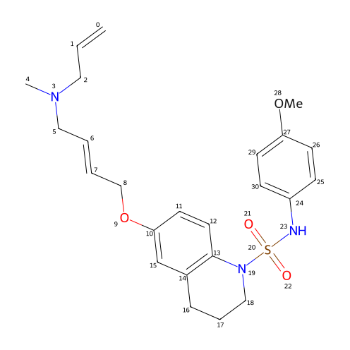 C=CCN(C)CC=CCOc1ccc2c(c1)CCCN2S(=O)(=O)Nc1ccc(OC)cc1